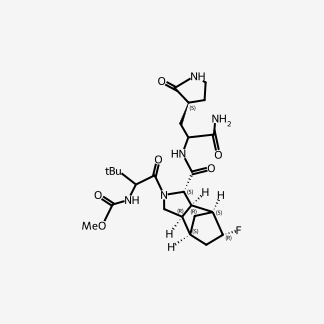 COC(=O)NC(C(=O)N1C[C@@H]2[C@H]3C[C@@H]([C@@H]2[C@H]1C(=O)NC(C[C@@H]1CCNC1=O)C(N)=O)[C@H](F)C3)C(C)(C)C